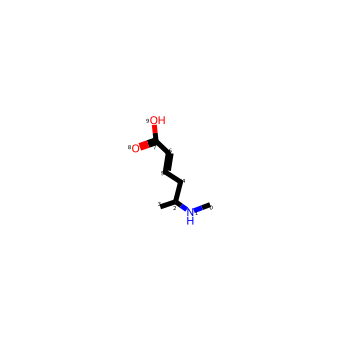 CNC(C)CC=CC(=O)O